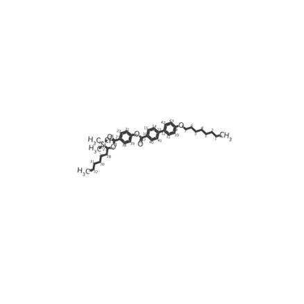 CCCCCCCCOc1ccc(-c2ccc(C(=O)Oc3ccc(C(=O)OC(CCCCCC)[Si](C)(C)C)cc3)cc2)cc1